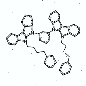 c1ccc(CCCCn2c3ccccc3c3c4ccccc4n(-c4cccc(-n5c6ccccc6c6c7ccccc7n(CCCCc7ccccc7)c65)c4)c32)cc1